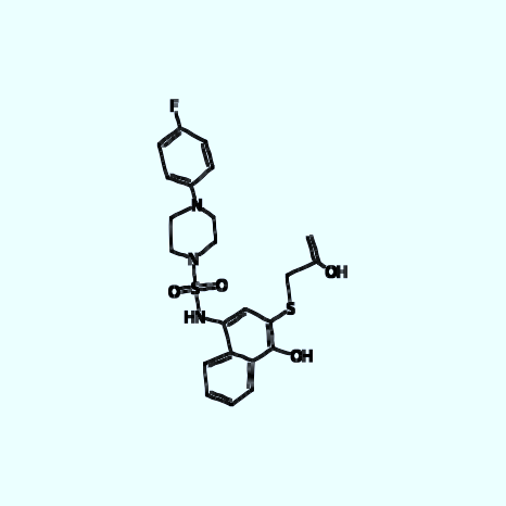 C=C(O)CSc1cc(NS(=O)(=O)N2CCN(c3ccc(F)cc3)CC2)c2ccccc2c1O